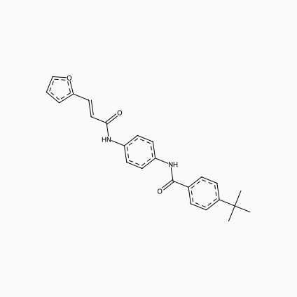 CC(C)(C)c1ccc(C(=O)Nc2ccc(NC(=O)/C=C/c3ccco3)cc2)cc1